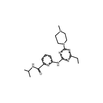 CCc1nc(Nc2cccc(C(=O)NC(C)C)n2)nc(N2CCN(C)CC2)n1